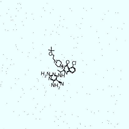 CC(Nc1nc(N)nc(N)c1C#N)c1nc2cccc(Cl)c2c(=O)n1N1CCN(CCOC(C)(C)C)CC1